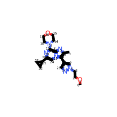 COCCn1cc(-c2c(C)nc3c(N4CCOCC4)nc(C4CC4)cn23)cn1